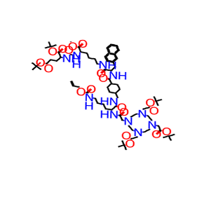 C=CCOC(=O)NCCCCC(NC(=O)CN1CCN(CC(=O)OC(C)(C)C)CCN(CC(=O)OC(C)(C)C)CCN(CC(=O)OC(C)(C)C)CC1)C(=O)NCC1CCC(C(=O)NC(Cc2ccc3ccccc3c2)C(=O)NCCCCC(NC(=O)NC(CCC(=O)OC(C)(C)C)C(=O)OC(C)(C)C)C(=O)OC)CC1